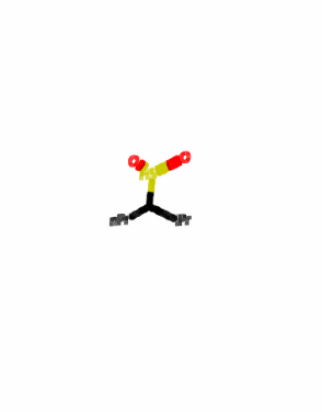 CCCC(C(C)C)[SH](=O)=O